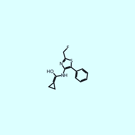 OC(Nc1nc(CF)sc1-c1ccccc1)=C1CC1